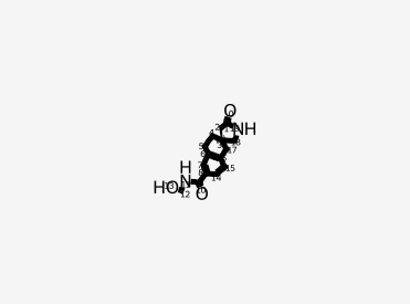 O=C1C[C@@]2(CCc3cc(C(=O)NCO)ccc3C2)CN1